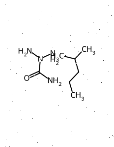 CCCC(C)C.NC(=O)N(N)N